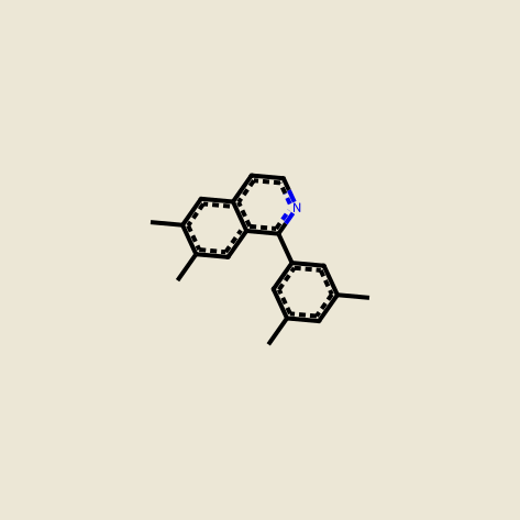 Cc1cc(C)cc(-c2nccc3cc(C)c(C)cc23)c1